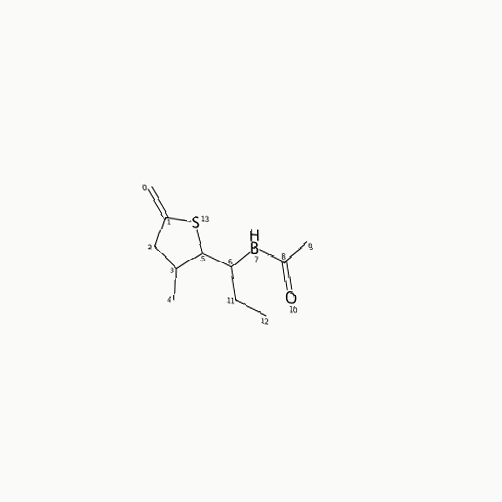 C=C1CC(C)C(C(BC(C)=O)CC)S1